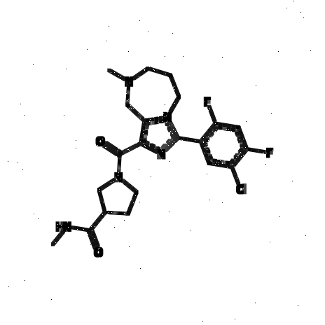 CNC(=O)C1CCN(C(=O)c2nc(-c3cc(Cl)c(F)cc3F)n3c2CN(C)CCC3)C1